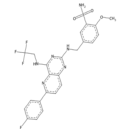 COc1ccc(CNc2nc(NCC(F)(F)F)c3nc(-c4ccc(F)cc4)ccc3n2)cc1S(N)(=O)=O